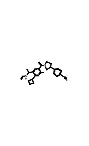 C=CNC(C)c1cc(C(=C)N2CCC(c3ccc(C#N)cc3)C2)c(C)cc1C1CCC1